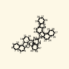 CC12Oc3ccc4ccccc4c3C1C=CC=C2c1nc(-n2c3ccc4ccccc4c3c3c4sc5ccccc5c4ccc32)nc2ccccc12